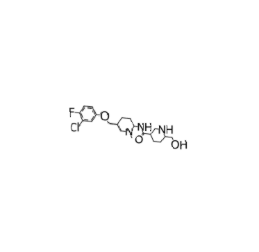 CN1CC(COc2ccc(F)c(Cl)c2)CCC1NC(=O)C1CCC(CO)NC1